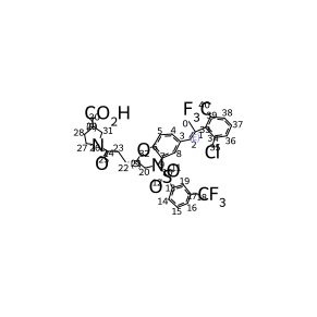 C/C(=C\c1ccc2c(c1)N(S(=O)(=O)c1cccc(C(F)(F)F)c1)C[C@H](CCC(=O)N1CC[C@@H](C(=O)O)C1)O2)c1c(Cl)cccc1C(F)(F)F